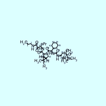 C=CCNC(=O)C(=O)C(CCC)NC(=O)[C@@H]1[C@@H]2[C@H](CN1C(=O)[C@@H](NC(=O)N[C@H](CN(C)S(=O)(=O)N(C)C)C(C)C)C1CCCCC1)C2(C)C